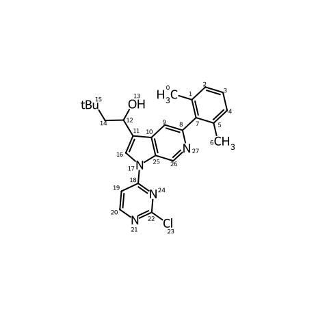 Cc1cccc(C)c1-c1cc2c(C(O)CC(C)(C)C)cn(-c3ccnc(Cl)n3)c2cn1